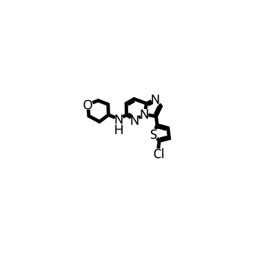 Clc1ccc(-c2cnc3ccc(NC4CCOCC4)nn23)s1